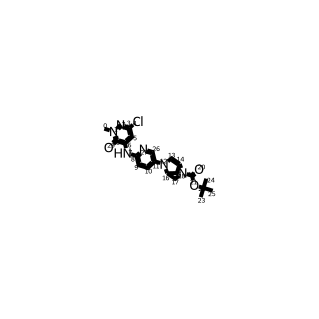 Cn1nc(Cl)cc(Nc2ccc(N3C=C4CC3CN4C(=O)OC(C)(C)C)cn2)c1=O